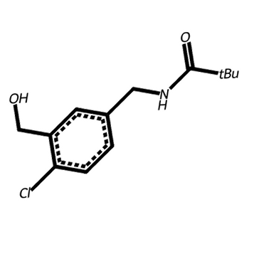 CC(C)(C)C(=O)NCc1ccc(Cl)c(CO)c1